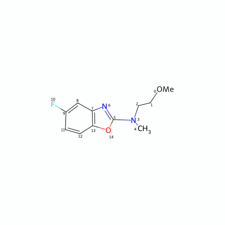 COCCN(C)c1nc2cc(F)ccc2o1